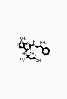 Cn1ncc2c(NC(C)(C)CCO)nc(NC[C@H](N)c3ccccc3)nc21